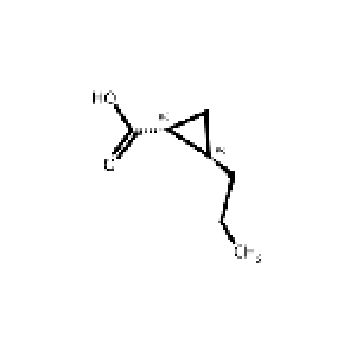 CCC[C@@H]1C[C@H]1C(=O)O